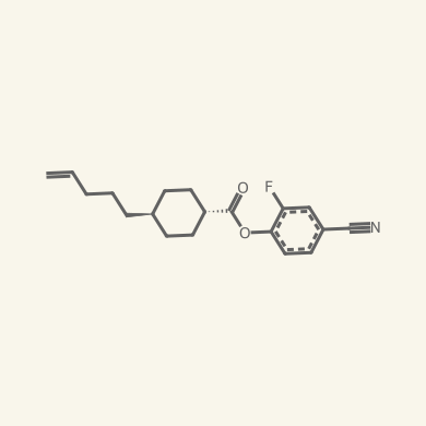 C=CCCC[C@H]1CC[C@H](C(=O)Oc2ccc(C#N)cc2F)CC1